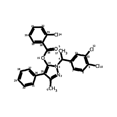 Cc1nn(C(C)c2ccc(Cl)c(Cl)c2)c(OC(=O)c2ccccc2Cl)c1-c1ccccc1